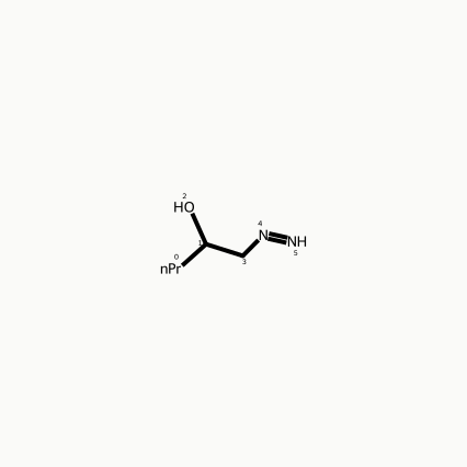 CCCC(O)CN=N